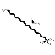 CC=O.CCCCCCCCCCCCCCCC[N+](C)(C)C